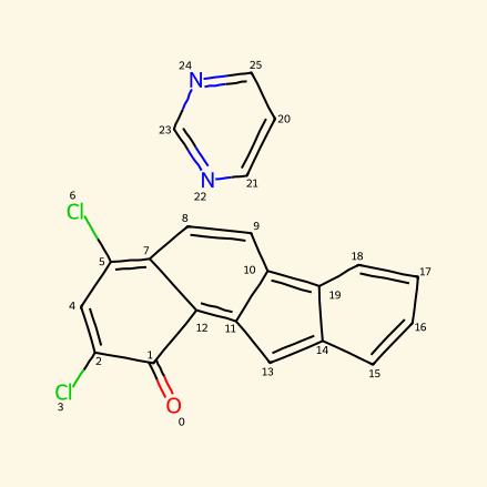 O=C1C(Cl)=CC(Cl)=c2ccc3c(c21)C=c1ccccc1=3.c1cncnc1